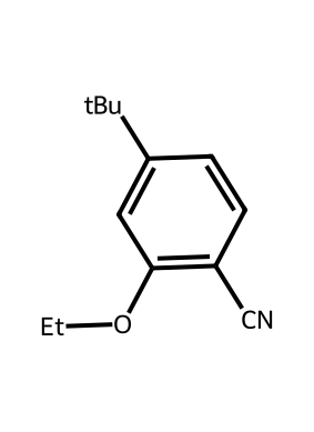 CCOc1cc(C(C)(C)C)ccc1C#N